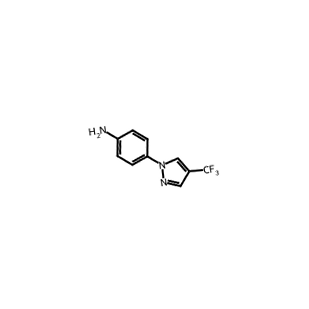 Nc1ccc(-n2cc(C(F)(F)F)cn2)cc1